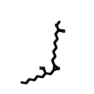 CCCCCCC(O)CC1OC1CCCCCCCC(=O)OC